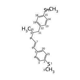 CSc1ccc(C=CCC(C)Cc2ccc(SC)cc2)cc1